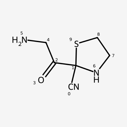 N#CC1(C(=O)CN)NCCS1